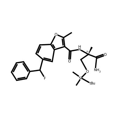 Cc1oc2ccc(C(F)c3ccccc3)cc2c1C(=O)N[C@@](C)(CO[Si](C)(C)C(C)(C)C)C(N)=O